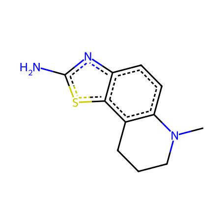 CN1CCCc2c1ccc1nc(N)sc21